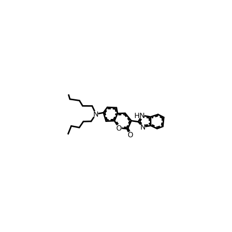 CCCCCN(CCCCC)c1ccc2cc(-c3nc4ccccc4[nH]3)c(=O)oc2c1